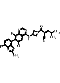 CC(C)/C=C(\C#N)C(=O)N1CC(Nc2ncnc3c(F)c(-c4ccc(F)c5sc(N)nc45)c(Cl)cc23)C1